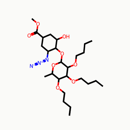 CCCCOC1C(C)OC(OC2C(O)CC(C(=O)OC)CC2N=[N+]=[N-])C(OCCCC)C1OCCCC